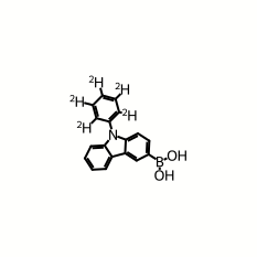 [2H]c1c([2H])c([2H])c(-n2c3ccccc3c3cc(B(O)O)ccc32)c([2H])c1[2H]